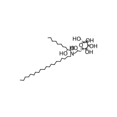 CCCCCCCCCCCCCCCCCCCCN(CC(O)C[C@@H]1O[C@H](CO)[C@@H](O)[C@H](O)[C@H]1O)C(=O)C(O)CCCCCCCC